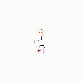 Cn1c(NCCOS(C)(=O)=O)cc(=O)n(C)c1=O